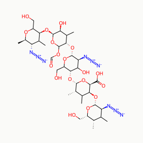 CC1[C@H](O[C@H]2OC(CO)[C@@H](O[C@@H]3O[C@@H](C(=O)O)[C@@H](O[C@H]4O[C@@H](CO)[C@@H](C)C(C)[C@@H]4N=[N+]=[N-])C(C)[C@@H]3C)C(O)[C@@H]2N=[N+]=[N-])C(OC=O)O[C@@H](O[C@@H]2C(CO)O[C@H](C)[C@@H](N=[N+]=[N-])C2C)[C@H]1O